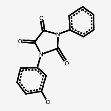 O=C1C(=O)N(c2cccc(Cl)c2)C(=O)N1c1ccccc1